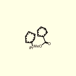 CC(C)c1ccccc1.COC(=O)c1ccccc1